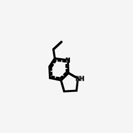 CCc1ccc2c(n1)NCC2